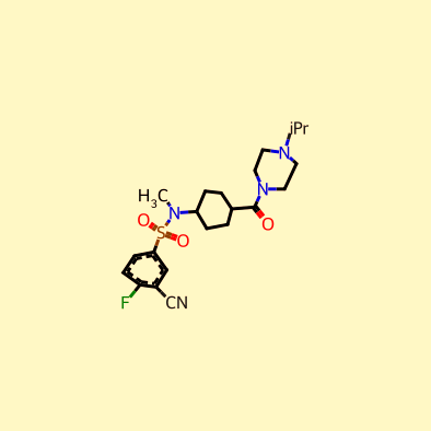 CC(C)N1CCN(C(=O)C2CCC(N(C)S(=O)(=O)c3ccc(F)c(C#N)c3)CC2)CC1